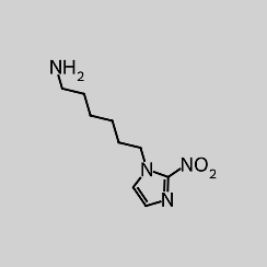 NCCCCCCn1ccnc1[N+](=O)[O-]